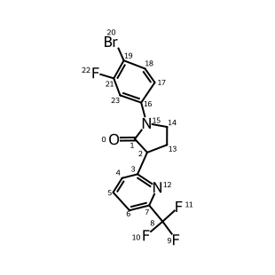 O=C1C(c2cccc(C(F)(F)F)n2)CCN1c1ccc(Br)c(F)c1